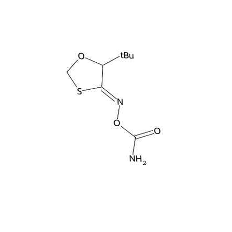 CC(C)(C)C1OCSC1=NOC(N)=O